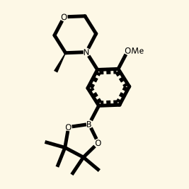 COc1ccc(B2OC(C)(C)C(C)(C)O2)cc1N1CCOC[C@@H]1C